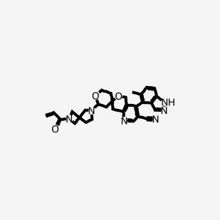 C=CC(=O)N1CC2(CCN(C3CC4(CCO3)Cc3ncc(C#N)c(-c5c(C)ccc6[nH]ncc56)c3CO4)C2)C1